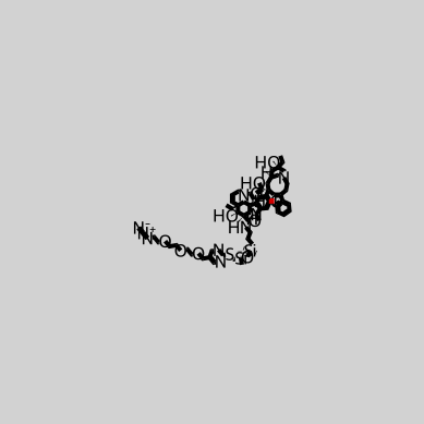 CC[C@]1(O)C[C@H]2CN(CCc3c([nH]c4ccccc34)[C@@](C(=O)O)(c3cc4c(cc3OC)N(C)[C@H]3[C@@](C)(C(=O)NCCC[Si](C)(C)O[Si](C)(C)CSc5ncc(COCCOCCOCCN=[N+]=[N-])cn5)[C@H](O)[C@]5(CC)C=CCN6CC[C@]43C65)C2)C1